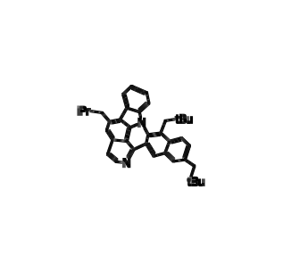 CC(C)Cc1cc2ccnc3c4cc5cc(CC(C)(C)C)ccc5c(CC(C)(C)C)c4n4c5ccccc5c1c4c23